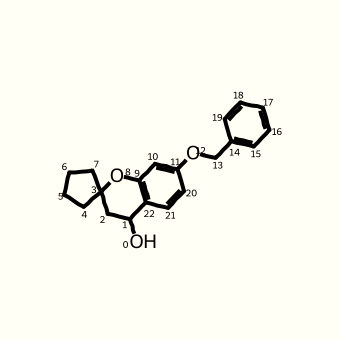 OC1CC2(CCCC2)Oc2cc(OCc3ccccc3)ccc21